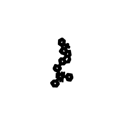 CC1(C)c2ccccc2-c2ccc3c(ccc4ccc5cc(-c6cccc(-c7nc(-c8ccccc8)nc(-c8ccccc8)n7)c6)ccc5c43)c21